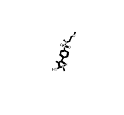 COCCN(C)S(=O)(=O)c1ccc(-c2nn(C)c(O)c2C)cc1